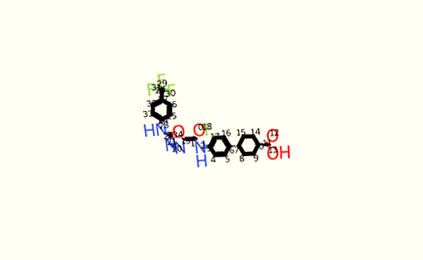 O=C(Nc1ccc([C@H]2CC[C@H](C(=O)O)CC2)cc1F)c1nnc(Nc2ccc(C(F)(F)F)cc2)o1